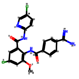 COc1cc(Cl)cc(C(=O)Nc2ccc(Cl)cn2)c1NC(=O)c1ccc(C(=N)N)cc1